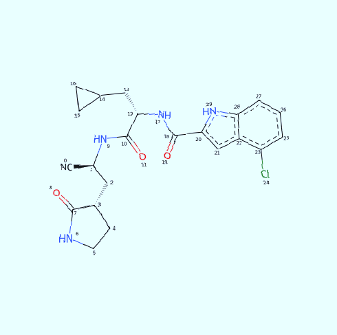 N#C[C@H](C[C@@H]1CCNC1=O)NC(=O)[C@H](CC1CC1)NC(=O)c1cc2c(Cl)cccc2[nH]1